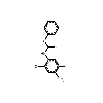 Cc1cc(Cl)c(NC(=O)Oc2ccccc2)cc1Cl